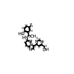 C[C@@H](Nc1ccc2ncc(-c3cc(CO)ncn3)n2n1)c1cc(F)ccc1O